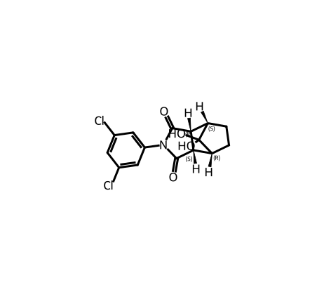 O=C1[C@@H]2[C@H](C(=O)N1c1cc(Cl)cc(Cl)c1)[C@@H]1CC[C@H]2C1(O)O